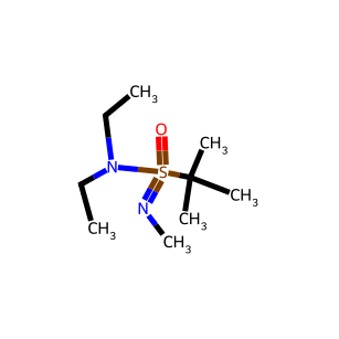 CCN(CC)S(=O)(=NC)C(C)(C)C